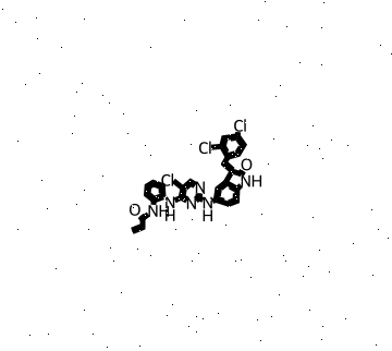 C=CC(=O)Nc1ccccc1Nc1nc(Nc2ccc3c(c2)C(=Cc2ccc(Cl)cc2Cl)C(=O)N3)ncc1Cl